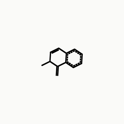 C=C1c2ccccc2C=CC1C